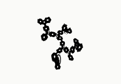 c1ccc(N(c2ccc(C3c4ccccc4-c4ccccc43)cc2)c2ccc(N(c3ccc(-c4ccc(N(c5ccc(-c6cccc7c6oc6ccccc67)cc5)c5ccc(N(c6ccccc6)c6ccc(-n7c8ccccc8c8ccccc87)cc6)cc5)cc4)cc3)c3ccc(-c4cccc5c4oc4ccccc45)cc3)cc2)cc1